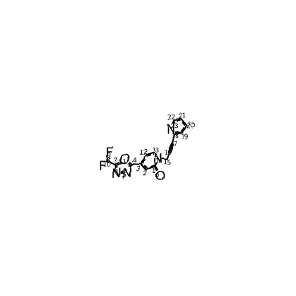 O=c1cc(-c2nnc(C(F)F)o2)ccn1CC#Cc1ccccn1